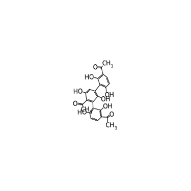 CC(=O)c1ccc(O)c(-c2cc(O)c(C(C)=O)c(-c3c(O)ccc(C(C)=O)c3O)c2O)c1O